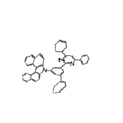 C1=CCCC(c2cc(-c3nc(-c4ccccc4)cc(C4CC=CCC4)n3)cc(-n3c4ccc5ccccc5c4c4c5ccccc5ccc43)c2)=C1